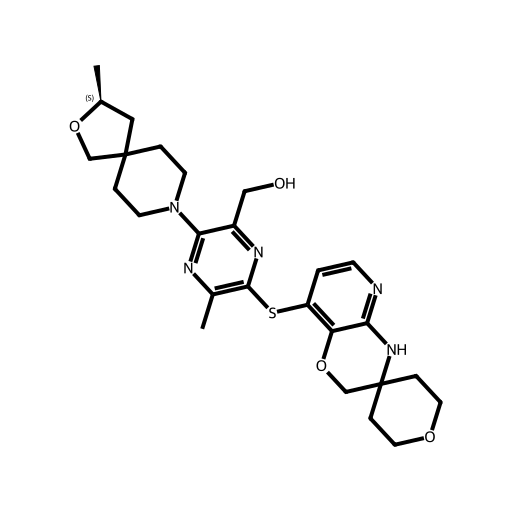 Cc1nc(N2CCC3(CC2)CO[C@@H](C)C3)c(CO)nc1Sc1ccnc2c1OCC1(CCOCC1)N2